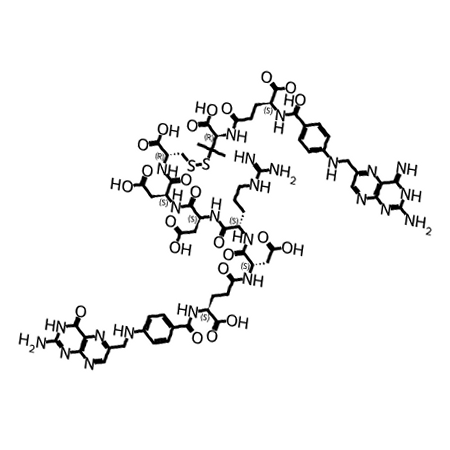 CC(C)(SSC[C@H](NC(=O)[C@H](CC(=O)O)NC(=O)[C@H](CC(=O)O)NC(=O)[C@H](CCCNC(=N)N)NC(=O)[C@H](CC(=O)O)NC(=O)CC[C@H](NC(=O)c1ccc(NCc2cnc3nc(N)[nH]c(=O)c3n2)cc1)C(=O)O)C(=O)O)[C@H](NC(=O)CC[C@H](NC(=O)c1ccc(NCc2cnc3nc(N)[nH]c(=N)c3n2)cc1)C(=O)O)C(=O)O